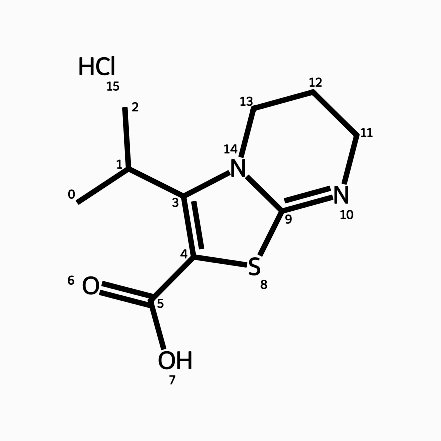 CC(C)C1=C(C(=O)O)SC2=NCCCN21.Cl